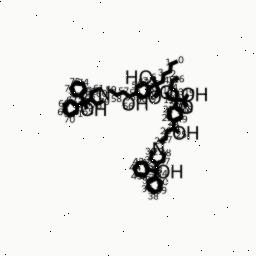 CCCCCC(CO)(C(=O)OCC(CCCC)(C(=O)O)c1ccc(C(O)CCCN2CCC(C(O)(c3ccccc3)c3ccccc3)CC2)cc1)c1ccc(C(O)CCCN2CCC(C(O)(c3ccccc3)c3ccccc3)CC2)cc1